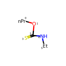 [CH2]CCOC(=S)NCC